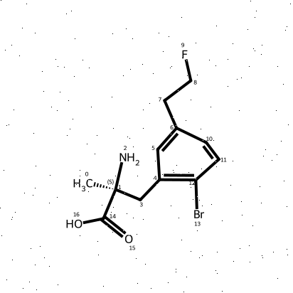 C[C@](N)(Cc1cc(CCF)ccc1Br)C(=O)O